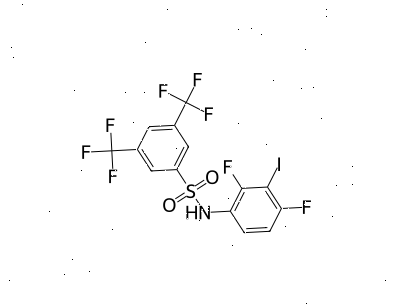 O=S(=O)(Nc1ccc(F)c(I)c1F)c1cc(C(F)(F)F)cc(C(F)(F)F)c1